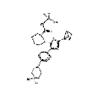 N#CC1(NC(=O)[C@@H]2CCCC[C@H]2c2oc(C3C4CC3C4)nc2-c2ccc(N3CCS(O)(O)CC3)cc2)CC1